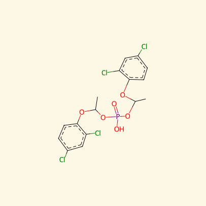 CC(Oc1ccc(Cl)cc1Cl)OP(=O)(O)OC(C)Oc1ccc(Cl)cc1Cl